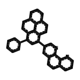 c1ccc(-c2cc(-c3cnc4c(ccc5cccnc54)c3)c3ccc4cccc5ccc2c3c54)cc1